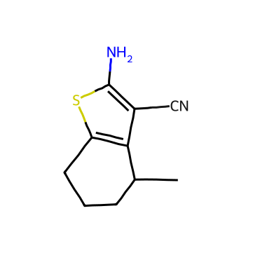 CC1CCCc2sc(N)c(C#N)c21